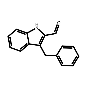 O=Cc1[nH]c2ccccc2c1Cc1ccccc1